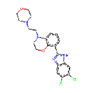 Clc1cc2nc(-c3cccc4c3OCCN4CCN3CCOCC3)[nH]c2cc1Cl